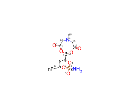 CCCC=CC(OS(N)(=O)=O)B1OC(=O)CN(C)CC(=O)O1